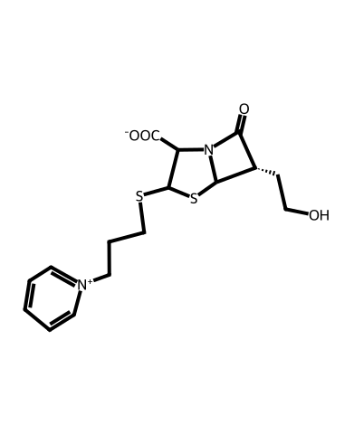 O=C([O-])C1C(SCCC[n+]2ccccc2)SC2[C@@H](CCO)C(=O)N12